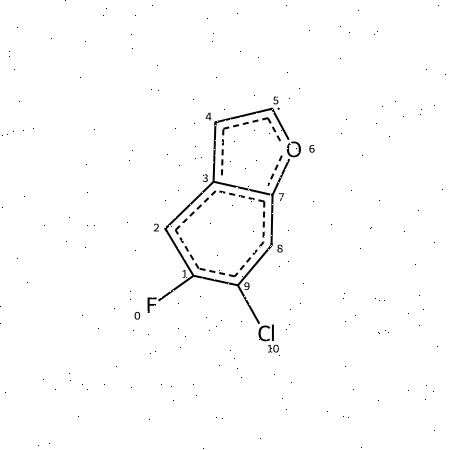 Fc1cc2c[c]oc2cc1Cl